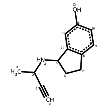 C#CC(C)NC1CCc2ccc(O)cc21